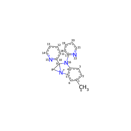 Cc1ccc2c(c1)N1CC1(c1ccccn1)N2c1ccccn1